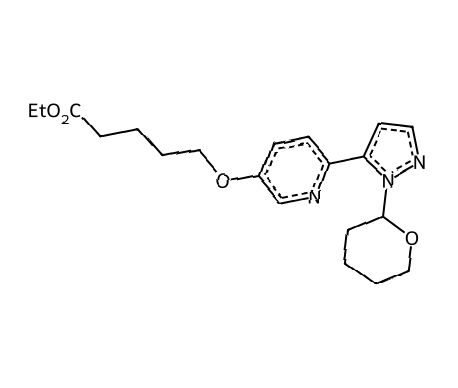 CCOC(=O)CCCCOc1ccc(-c2ccnn2C2CCCCO2)nc1